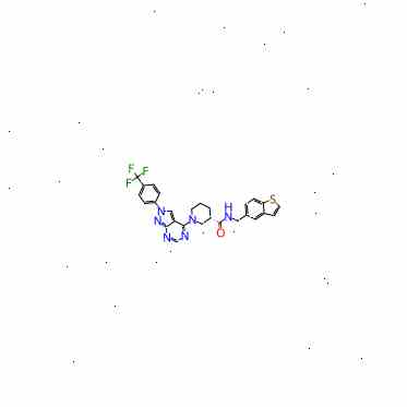 O=C(NCc1ccc2sccc2c1)[C@H]1CCCN(c2ncnc3nn(-c4ccc(C(F)(F)F)cc4)cc23)C1